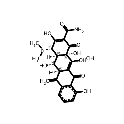 C=C1c2cccc(O)c2C(=O)C2=C(O)[C@]3(O)C(=O)C(C(N)=O)=C(O)[C@@H](N(C)C)[C@@H]3[C@@H](O)[C@H]12.Cl